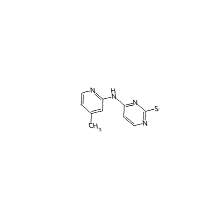 Cc1ccnc(Nc2ccnc([S])n2)c1